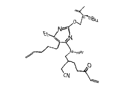 C=CCCCc1c(CC)nc(OC[C@H](CCCC)C(=C)C)nc1N(CCC)CC(CC#N)CCC(=O)C=C